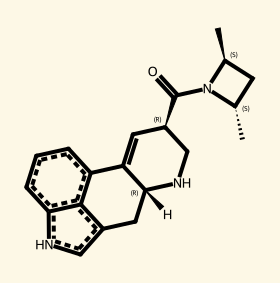 C[C@H]1C[C@H](C)N1C(=O)[C@@H]1C=C2c3cccc4[nH]cc(c34)C[C@H]2NC1